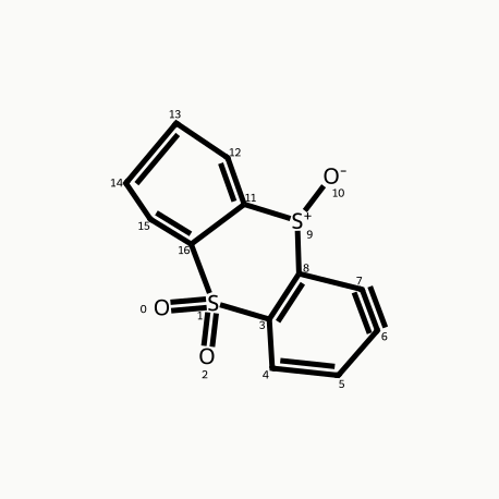 O=S1(=O)c2ccc#cc2[S+]([O-])c2ccccc21